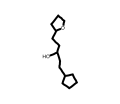 OC(CCC1CCCC1)CCC1CCCO1